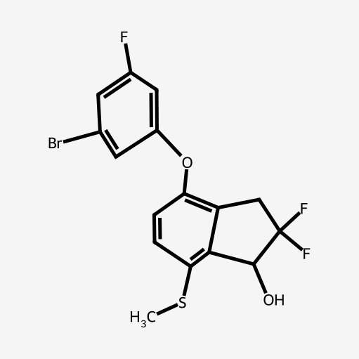 CSc1ccc(Oc2cc(F)cc(Br)c2)c2c1C(O)C(F)(F)C2